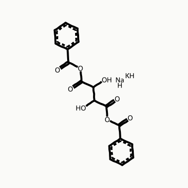 O=C(OC(=O)C(O)C(O)C(=O)OC(=O)c1ccccc1)c1ccccc1.[KH].[NaH]